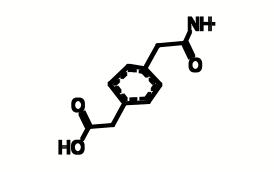 [NH]C(=O)Cc1ccc(CC(=O)O)cc1